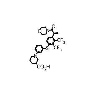 C=C(C(=O)N1CCOCC1)c1ccc(Sc2cccc(N3CCCC(C(=O)O)C3)c2)c(C(F)(F)F)c1C(F)(F)F